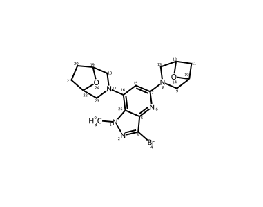 Cn1nc(Br)c2nc(N3CC4CC(C3)O4)cc(N3CC4CCC(C3)O4)c21